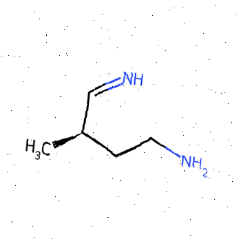 C[C@@H](C=N)CCN